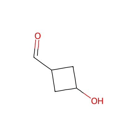 O=CC1CC(O)C1